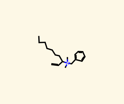 C=CC(CCCCCCC)[N+](C)(C)Cc1ccccc1